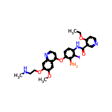 CCOc1ccncc1C(=O)Nc1ccc(Oc2ccnc3cc(OCCNC)c(OC)cc23)c(P)c1I